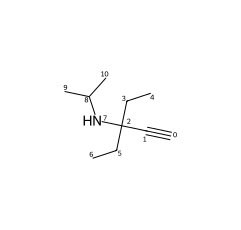 C#CC(CC)(CC)NC(C)C